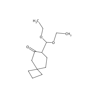 CCOC(OCC)C1CCC2(CCC2)CC1=O